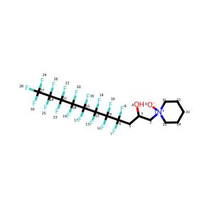 [O-][N+]1(CC(O)CC(F)(F)C(F)(F)C(F)(F)C(F)(F)C(F)(F)C(F)(F)C(F)(F)C(F)(F)F)CCCCC1